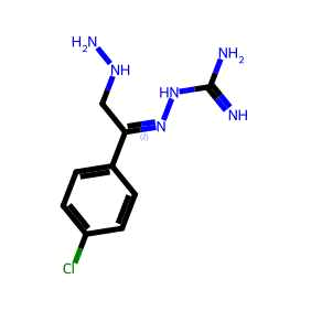 N=C(N)N/N=C(\CNN)c1ccc(Cl)cc1